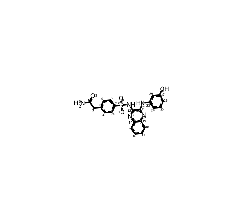 NC(=O)Cc1ccc(S(=O)(=O)Nc2nc3ccccc3nc2Nc2cccc(O)c2)cc1